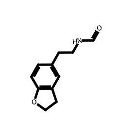 O=CNCCc1ccc2c(c1)CCO2